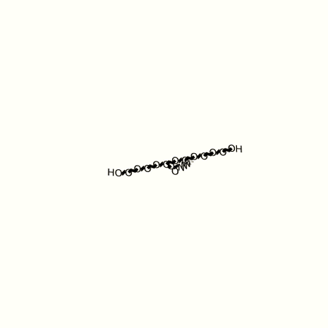 COC(=O)CN=[N+]=[N-].OCCOCCOCCOCCOCCOCCOCCOCCOCCOCCOCCOCCO